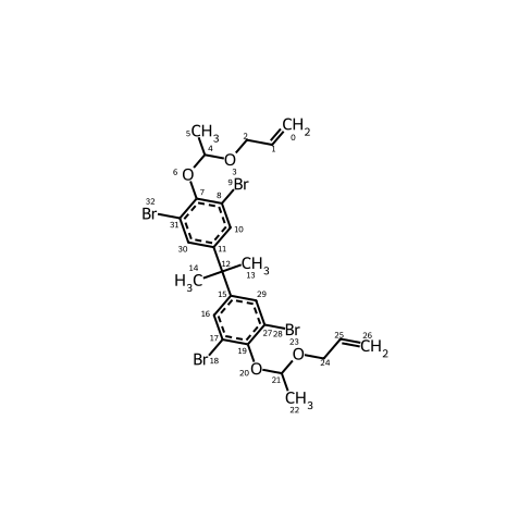 C=CCOC(C)Oc1c(Br)cc(C(C)(C)c2cc(Br)c(OC(C)OCC=C)c(Br)c2)cc1Br